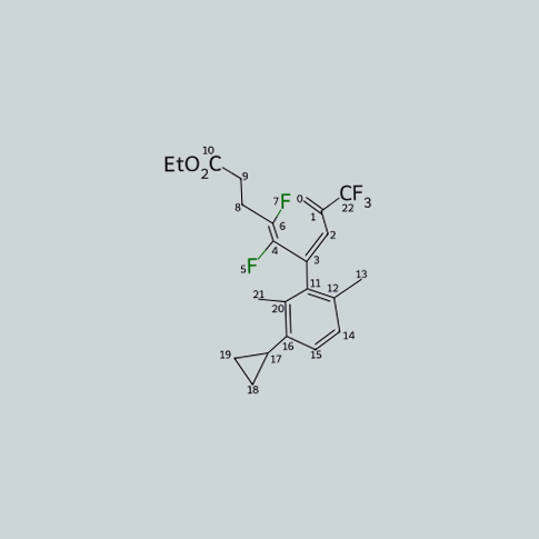 C=C(/C=C(\C(F)=C(/F)CCC(=O)OCC)c1c(C)ccc(C2CC2)c1C)C(F)(F)F